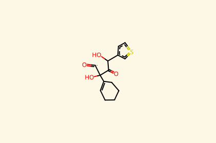 O=[C]C(O)(C(=O)C(O)c1ccsc1)C1=CCCCC1